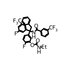 CCNC(=O)Oc1cc(C(Cc2ccccc2)(NC(=O)c2cccc(C(F)(F)F)c2)c2cc(F)cc(C(F)(F)F)c2)ccc1F